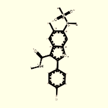 CNC(=O)c1c(-c2ccc(F)cc2)oc2cc(N(C)S(C)(=O)=O)c(C)cc12